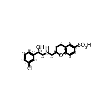 O=S(=O)(O)c1ccc2c(c1)CCC(CNC[C@H](O)c1cccc(Cl)c1)O2